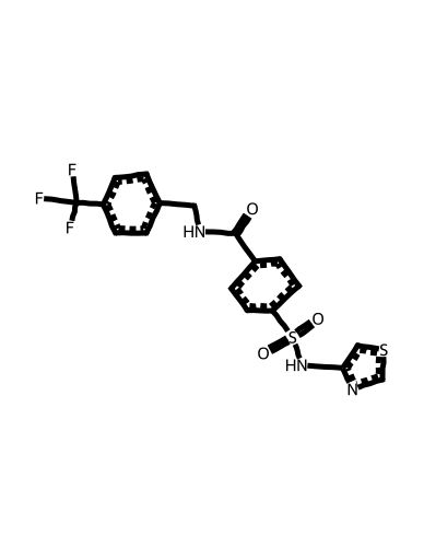 O=C(NCc1ccc(C(F)(F)F)cc1)c1ccc(S(=O)(=O)Nc2cscn2)cc1